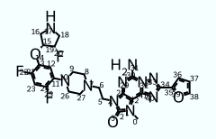 Cn1c(=O)n(CCN2CCN(c3cc(O[C@H]4CNC[C@@H]4F)c(F)cc3F)CC2)c2nc(N)n3nc(-c4ccco4)nc3c21